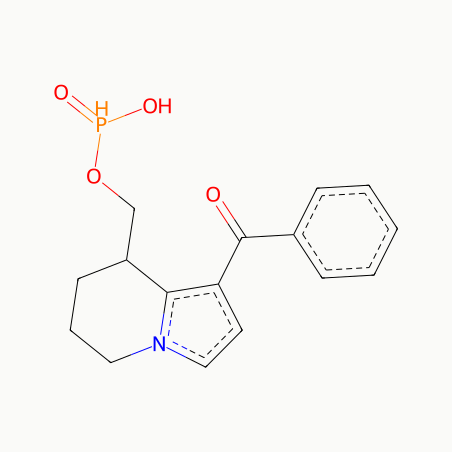 O=C(c1ccccc1)c1ccn2c1C(CO[PH](=O)O)CCC2